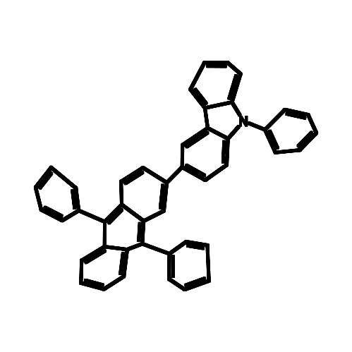 c1ccc(-c2c3ccccc3c(-c3ccccc3)c3cc(-c4ccc5c(c4)c4ccccc4n5-c4ccccc4)ccc23)cc1